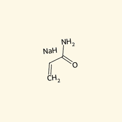 C=CC(N)=O.[NaH]